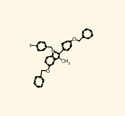 Cc1c(-c2ccc(OCc3ccccc3)cc2)n(Cc2ccc(I)cc2)c2ccc(OCc3ccccc3)cc12